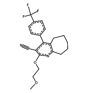 COCCOc1nc2c(c(-c3ccc(C(F)(F)F)cc3)c1C#N)CCCCC2